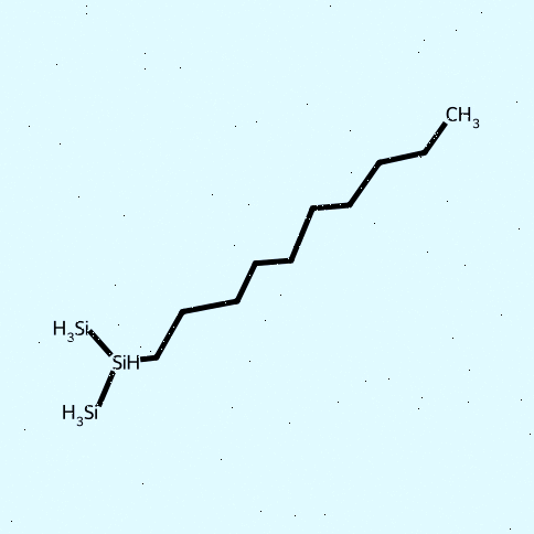 CCCCCCCCCC[SiH]([SiH3])[SiH3]